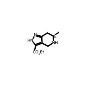 CCOC(=O)c1[nH]nc2c1CN[C@H](C)C2